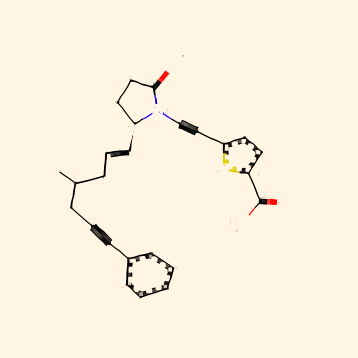 CC(CC#Cc1ccccc1)C/C=C/[C@H]1CCC(=O)N1C#Cc1ccc(C(=O)O)s1